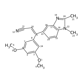 COc1cc(OC)cc(C(=CC#N)c2ccc3c(c2)nc(C)n3C)c1